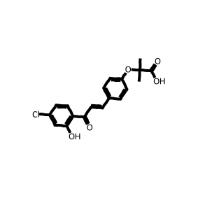 CC(C)(Oc1ccc(C=CC(=O)c2ccc(Cl)cc2O)cc1)C(=O)O